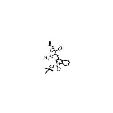 C=CCOC(=O)C(N)Cc1cn(C(=O)OC(C)(C)C)c2ccccc12